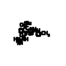 Cc1cccc(NC(=O)NC2CN(C(=O)C(C)(C)C)c3ccccc3N(CC(=O)Nc3nnn[nH]3)C2=O)c1